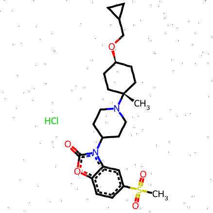 CS(=O)(=O)c1ccc2oc(=O)n(C3CCN([C@]4(C)CC[C@@H](OCC5CC5)CC4)CC3)c2c1.Cl